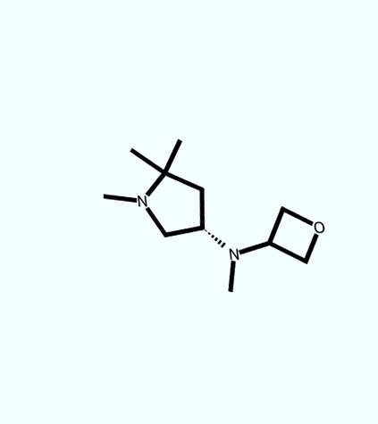 CN(C1COC1)[C@@H]1CN(C)C(C)(C)C1